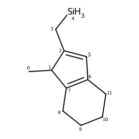 CC1C(C[SiH3])=[C]C2=C1CCCC2